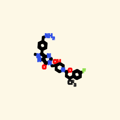 Cn1nc2c(=O)n(CC3(O)CCN(C(=O)CC(c4ccc(F)cc4)C(F)(F)F)CC3)cnc2c1-c1ccc(CN)cc1